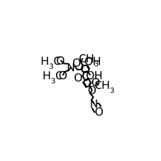 CCc1c(O)cc(O)c(C(=O)c2ccc(OCCCN3CCOCC3)c(OC)c2)c1CC(=O)N(CCOC)CCOC